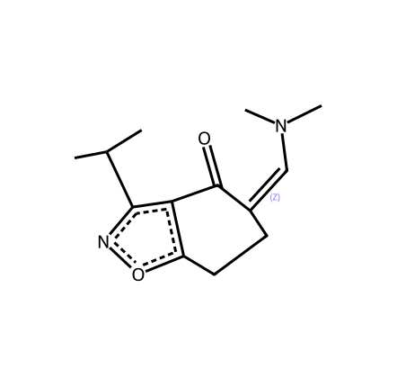 CC(C)c1noc2c1C(=O)/C(=C\N(C)C)CC2